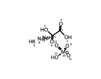 O=C(O)C(=O)O.[KH].[NaH].[NaH].[O]=[Mn](=[O])(=[O])[OH]